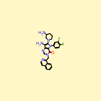 Nc1c(N2CCCC(N)C2)n(-c2ccc(F)c(F)c2)c2c(=O)n(Cc3nccc4ccccc34)cnc12